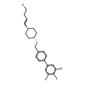 FCC/C=C/[C@H]1CC[C@H](CCc2ccc(-c3cc(F)c(F)c(F)c3)cc2)CC1